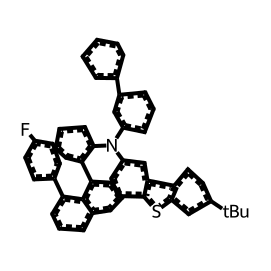 CC(C)(C)c1ccc2c(c1)sc1ccc(N(c3cccc(-c4ccccc4)c3)c3ccccc3-c3cccc4cccc(-c5ccc(F)cc5)c34)cc12